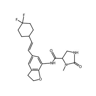 CN1C(=O)NCC1C(=O)Nc1cc(C=CC2CCC(F)(F)CC2)cc2c1OCC2